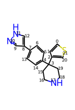 c1cc(C2(c3ccc(-c4cn[nH]c4)cc3)CCNCC2)cs1